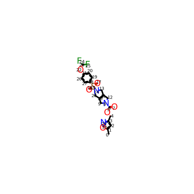 Cc1cc(COC(=O)N2CC3=C(C2)CN(S(=O)(=O)c2ccc(OC(F)F)cc2)C3)no1